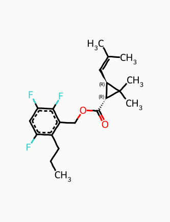 CCCc1c(F)cc(F)c(F)c1COC(=O)[C@@H]1[C@@H](C=C(C)C)C1(C)C